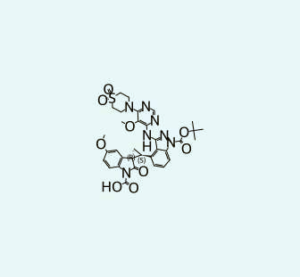 COc1ccc2c(c1)[C@]1(C[C@H]1c1cccc3c1c(Nc1ncnc(N4CCS(=O)(=O)CC4)c1OC)nn3C(=O)OC(C)(C)C)C(=O)N2C(=O)O